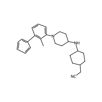 Cc1c(-c2ccccc2)cccc1N1CCC(NC2CCC(CC#N)CC2)CC1